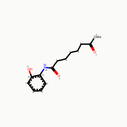 COC(=O)CCCCCC(=O)Nc1ccccc1O